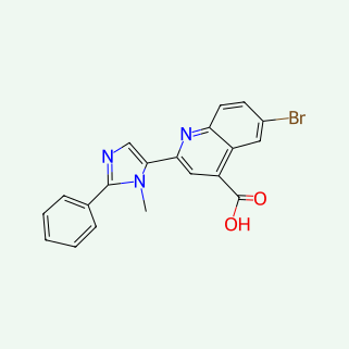 Cn1c(-c2cc(C(=O)O)c3cc(Br)ccc3n2)cnc1-c1ccccc1